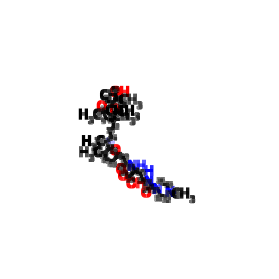 CO[C@H](C(C)OC(C)(C)C[C@H](C)CC/C=C(\C)[C@H]1O[C@@H](CC(=O)N[C@@H](CCNC(=O)N2CCN(C)CC2)C(=O)O)CC[C@@H]1C)[C@@H](C)O